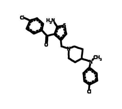 CN(c1ccc(Cl)cc1)C1CCN(Cc2csc(N)c2C(=O)c2ccc(Cl)cc2)CC1